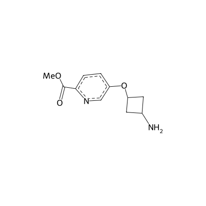 COC(=O)c1ccc(OC2CC(N)C2)cn1